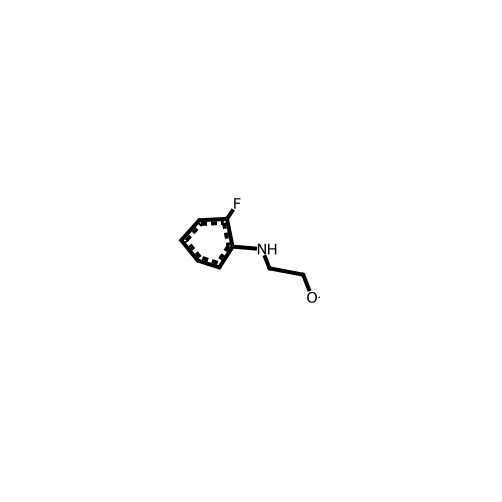 [O]CCNc1ccccc1F